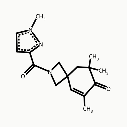 CC1=CC2(CN(C(=O)c3ccn(C)n3)C2)CC(C)(C)C1=O